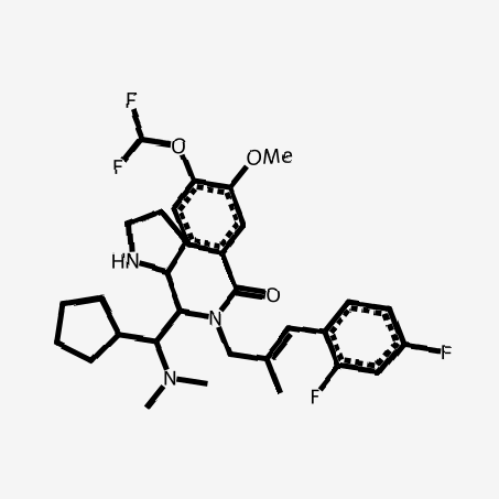 COc1cc(C(=O)N(CC(C)=Cc2ccc(F)cc2F)C(C2CCCN2)C(C2CCCC2)N(C)C)ccc1OC(F)F